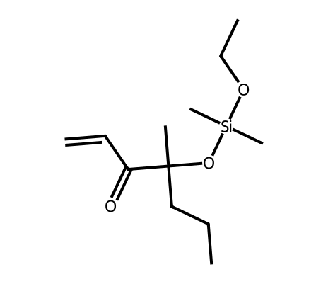 C=CC(=O)C(C)(CCC)O[Si](C)(C)OCC